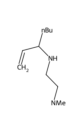 C=CC(CCCC)NCCNC